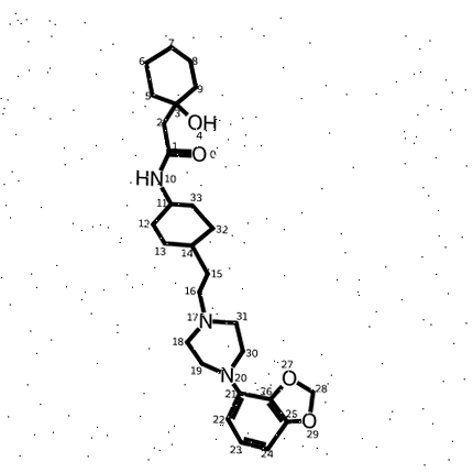 O=C(CC1(O)CCCCC1)NC1CCC(CCN2CCN(c3cccc4c3OCO4)CC2)CC1